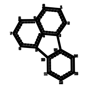 [c]1ccc2c3c(cc[c]c13)-c1ccccc1-2